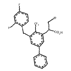 CC(C)CC(C(=O)O)c1cc(-c2ccccc2)cc(Cc2ccc(F)cc2F)c1C(F)(F)F